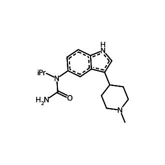 CC(C)N(C(N)=O)c1ccc2[nH]cc(C3CCN(C)CC3)c2c1